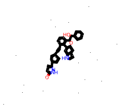 O=C(c1cccc(C#Cc2ccc(-c3ccc(=O)[nH]n3)cc2)c1-c1ccc2cc[nH]c2c1)C(O)c1ccccc1